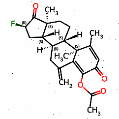 C=C1C[C@@H]2[C@H](CC[C@]3(C)C(=O)[C@H](F)C[C@@H]23)[C@@]2(C)C(C)=CC(=O)C(OC(C)=O)=C12